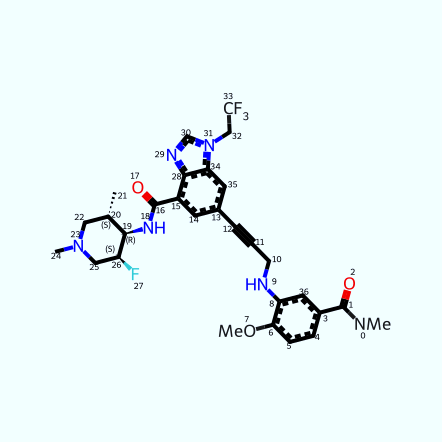 CNC(=O)c1ccc(OC)c(NCC#Cc2cc(C(=O)N[C@@H]3[C@@H](C)CN(C)C[C@@H]3F)c3ncn(CC(F)(F)F)c3c2)c1